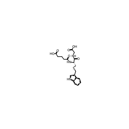 O=C(O)CCCC(=O)N[C@@H](CSCc1c[nH]c2ccccc12)C(=O)NCC(=O)O